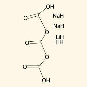 O=C(O)OC(=O)OC(=O)O.[LiH].[LiH].[NaH].[NaH]